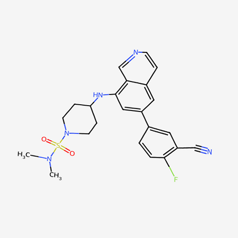 CN(C)S(=O)(=O)N1CCC(Nc2cc(-c3ccc(F)c(C#N)c3)cc3ccncc23)CC1